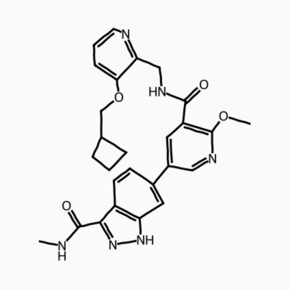 CNC(=O)c1n[nH]c2cc(-c3cnc(OC)c(C(=O)NCc4ncccc4OCC4CCC4)c3)ccc12